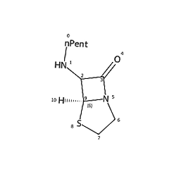 CCCCCNC1C(=O)N2CCS[C@@H]12